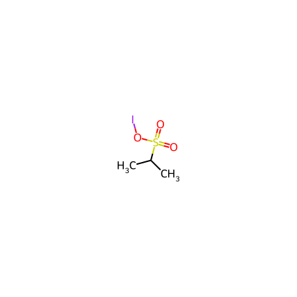 CC(C)S(=O)(=O)OI